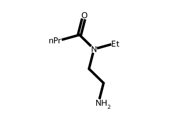 CCCC(=O)N(CC)CCN